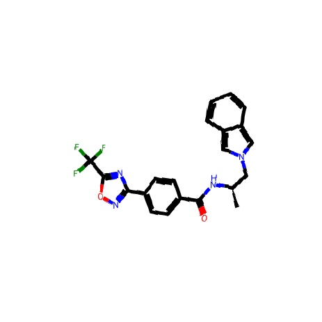 C[C@H](Cn1cc2ccccc2c1)NC(=O)c1ccc(-c2noc(C(F)(F)F)n2)cc1